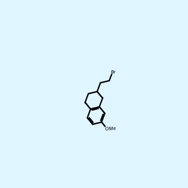 COc1ccc2c(c1)CC(CCBr)CC2